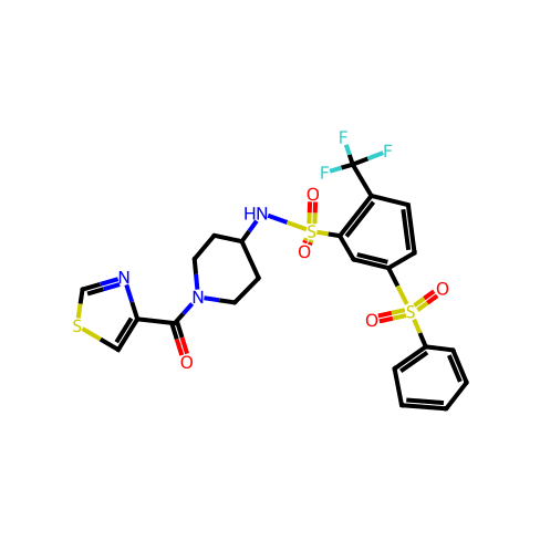 O=C(c1cscn1)N1CCC(NS(=O)(=O)c2cc(S(=O)(=O)c3ccccc3)ccc2C(F)(F)F)CC1